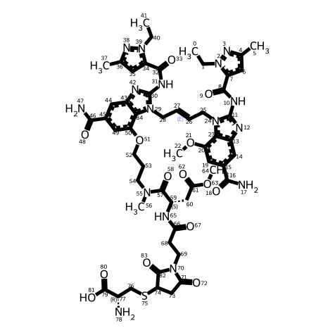 CCn1nc(C)cc1C(=O)Nc1nc2cc(C(N)=O)cc(OC)c2n1C/C=C/Cn1c(NC(=O)c2cc(C)nn2CC)nc2cc(C(N)=O)cc(OCCCN(C)C(=O)[C@H](CC(=O)OC)NC(=O)CCN3C(=O)CC(SC[C@H](N)C(=O)O)C3=O)c21